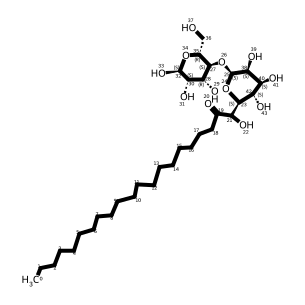 CCCCCCCCCCCCCCCCCCCC(=O)C(O)[C@H]1O[C@@H](O[C@H]2[C@H](O)[C@H](O)[C@@H](O)O[C@@H]2CO)[C@@H](O)[C@@H](O)[C@@H]1O